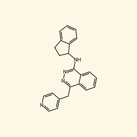 c1ccc2c(c1)CCC2Nc1nnc(Cc2ccncc2)c2ccccc12